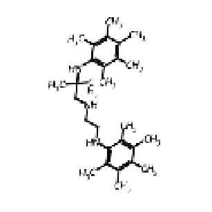 Cc1c(C)c(C)c(NCCNCC(C)(C)Nc2c(C)c(C)c(C)c(C)c2C)c(C)c1C